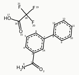 NC(=O)c1cccc(-c2ccccc2)c1.O=C(O)C(F)(F)F